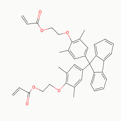 C=CC(=O)OCCOc1c(C)cc(C2(c3cc(C)c(OCCOC(=O)C=C)c(C)c3)c3ccccc3-c3ccccc32)cc1C